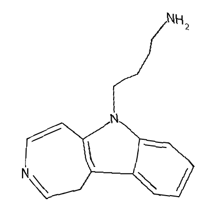 NCCCn1c2c(c3ccccc31)CC=NC=C2